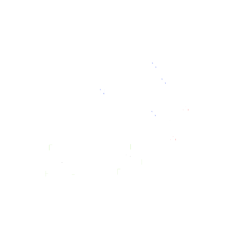 CCOC(=O)N1c2c(c(C)nn2C)C(/N=C\c2cc(C(F)(F)F)cc(C(F)(F)F)c2)CC1CC